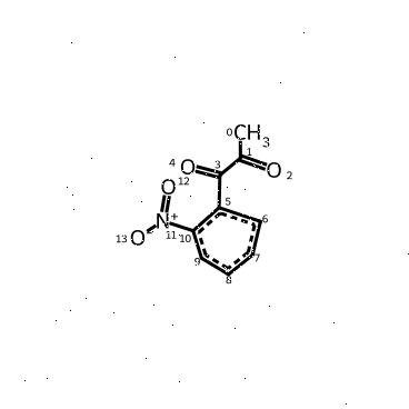 CC(=O)C(=O)c1ccccc1[N+](=O)[O-]